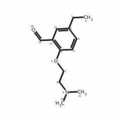 CCc1ccc(OCCN(C)C)c(C=O)c1